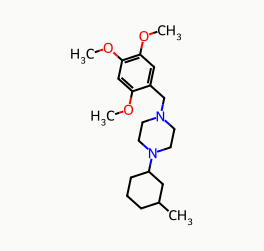 COc1cc(OC)c(OC)cc1CN1CCN(C2CCCC(C)C2)CC1